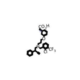 C#CC(CN(CCCOC1=CC=C/C(=C\C(=O)O)C1)Cc1cccc(C(F)(F)F)c1Cl)c1ccccc1